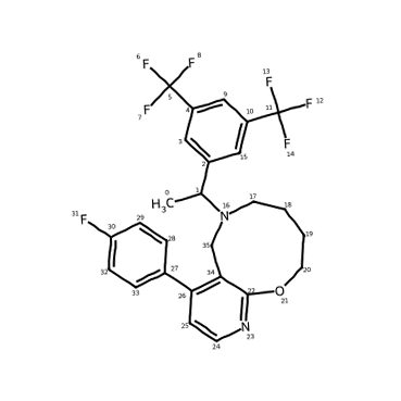 CC(c1cc(C(F)(F)F)cc(C(F)(F)F)c1)N1CCCCOc2nccc(-c3ccc(F)cc3)c2C1